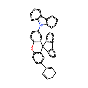 C1=CC(c2ccc3c(c2)C2(c4cc(-n5c6ccccc6c6ccccc65)ccc4O3)c3ccccc3-c3ccccc32)=CCC1